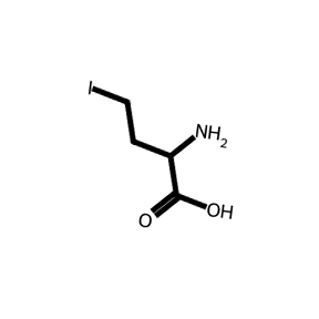 NC(CCI)C(=O)O